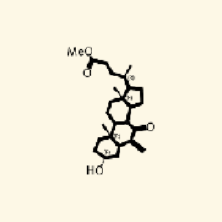 C=C1C(=O)C2C(CC[C@@]3(C)C2CCC3[C@H](C)CCC(=O)OC)[C@@]2(C)CC[C@@H](O)CC12